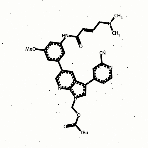 COc1cc(NC(=O)C=CCN(C)C)cc(-c2cnc3c(c2)c(-c2ccnc(C#N)c2)cn3COC(=O)C(C)(C)C)c1